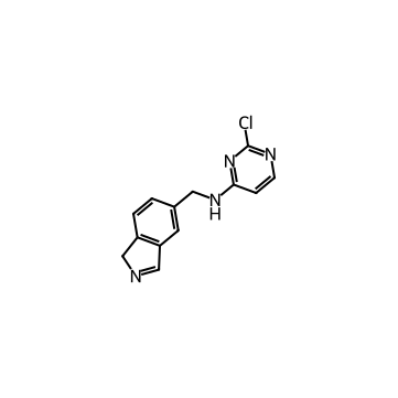 Clc1nccc(NCc2ccc3c(c2)C=NC3)n1